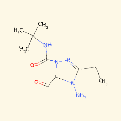 CCC1=NN(C(=O)NC(C)(C)C)C(C=O)N1N